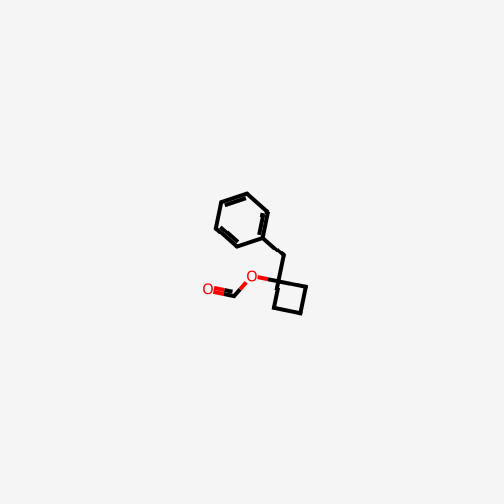 O=COC1(Cc2ccccc2)CCC1